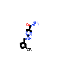 NNC(=O)c1cnc(NCc2cccc(C(F)(F)F)c2)nc1